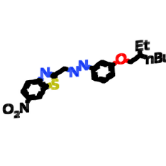 CCCCC(CC)COc1cccc(N=NCc2nc3ccc([N+](=O)[O-])cc3s2)c1